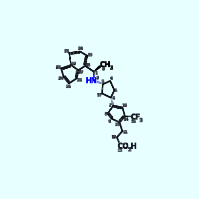 C[C@@H](N[C@@H]1CC[C@H](c2ccc(CCC(=O)O)c(C(F)(F)F)c2)C1)c1cccc2ccccc12